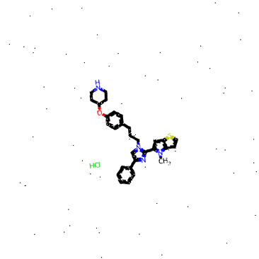 Cl.Cn1c(-c2nc(-c3ccccc3)cn2CCCc2ccc(OC3CCNCC3)cc2)cc2sccc21